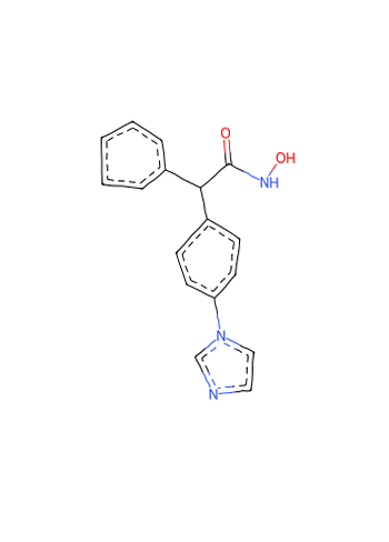 O=C(NO)C(c1ccccc1)c1ccc(-n2ccnc2)cc1